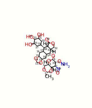 C[C@@H]1OC[C@H]2O[C@@H](O[C@@H]3C4CC5OCOC5CC4[C@@H](C4CC(O)C(O)C(O)C4)[C@H]4C(=O)OC[C@@H]43)[C@H](ON)[C@@H](N=O)[C@@H]2O1